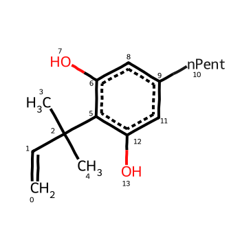 C=CC(C)(C)c1c(O)cc(CCCCC)cc1O